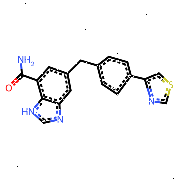 NC(=O)c1cc(Cc2ccc(-c3cscn3)cc2)cc2nc[nH]c12